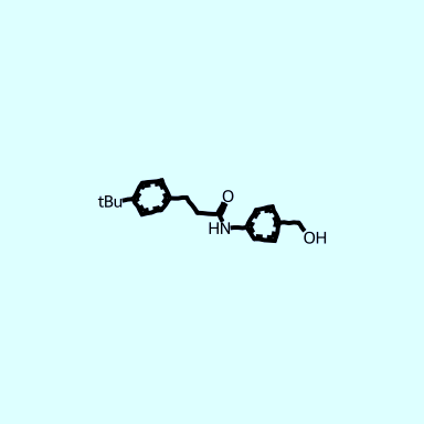 CC(C)(C)c1ccc(CCC(=O)Nc2ccc(CO)cc2)cc1